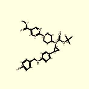 COC(=O)c1cnc(N2CCC(N(C(=O)OC(C)(C)C)C3CC3c3ccc(OCc4ccc(F)cc4)cc3)CC2)nc1